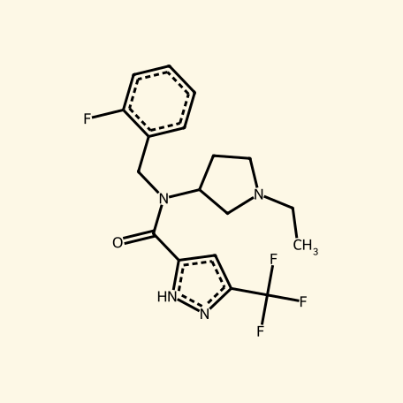 CCN1CCC(N(Cc2ccccc2F)C(=O)c2cc(C(F)(F)F)n[nH]2)C1